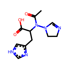 CC(=O)N(C(Cc1c[nH]cn1)C(=O)O)N1C=NCC1